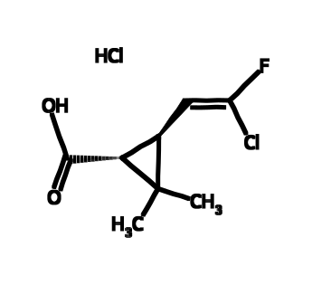 CC1(C)[C@H](C=C(F)Cl)[C@H]1C(=O)O.Cl